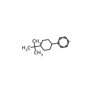 CC(C)(C)C1CCC(c2cc[c]cc2)CC1